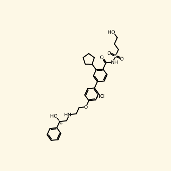 Cl.O=C(NS(=O)(=O)CCCO)c1ccc(-c2ccc(OCCNC[C@H](O)c3ccccc3)cc2)cc1C1CCCC1